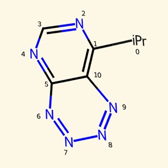 CC(C)c1ncnc2nnnnc12